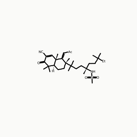 CCC(C)(C)CC[C@@](C)(CCC(C)(C)[C@]1(C)CC[C@H]2C(C)(C)C(=O)C(C#N)=C[C@]2(C)/C1=C/C(C)=O)NS(C)(=O)=O